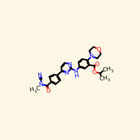 CC(C)OC(=O)c1cc(Nc2nccc(-c3ccc(C(=O)N(C)C#N)cc3)n2)ccc1N1CCOCC1